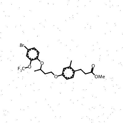 COC(=O)CCc1ccc(OCCC(C)Oc2ccc(Br)cc2OC(F)(F)F)cc1C